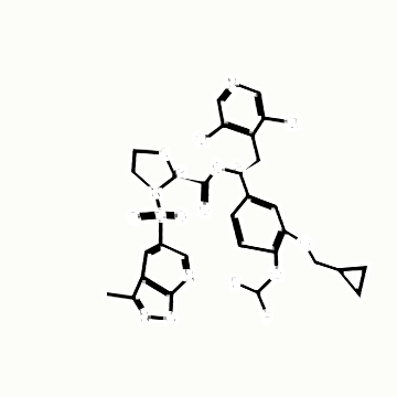 Cc1noc2ncc(S(=O)(=O)N3CCS[C@H]3C(=O)O[C@@H](Cc3c(Cl)cncc3Cl)c3ccc(OC(F)F)c(OCC4CC4)c3)cc12